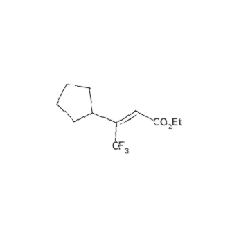 CCOC(=O)C=C(C1CCCC1)C(F)(F)F